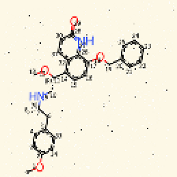 COc1ccc(C[C@H](C)NC[C@H](OC)c2ccc(OCc3ccccc3)c3[nH]c(=O)ccc23)cc1